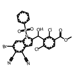 COC(=O)c1ccc(Cl)c(C(O)c2cc3c(C#N)c(C#N)c(Br)cc3n2S(=O)(=O)c2ccccc2)c1Cl